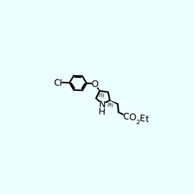 CCOC(=O)CC[C@@H]1C[C@H](Oc2ccc(Cl)cc2)CN1